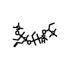 C=CC[Si](C)(OC(C)(CC)C(C)(C)[SiH](C)OC(CC)[Si](C)(C)C)C(C)(CC)O[Si](C)(C)C